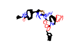 O=C(NC1CC1)c1ccc(-c2csc(NC(=O)[C@@H]3C[C@@H](O)CN3C(=O)OCc3ccccc3)n2)cc1